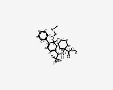 COCOC1(F)CC(C(NC2(C(=O)OC)CCCCC2)C(F)(F)F)=CC=C1c1ccccc1